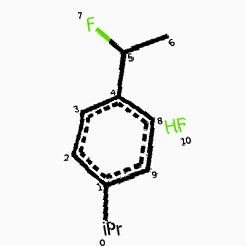 CC(C)c1ccc(C(C)F)cc1.F